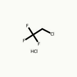 Cl.FC(F)(F)CCl